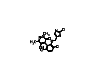 Cc1nn(C)c(=O)c(-c2c(Cl)ccc(Cl)c2OCc2cnc(Cl)s2)c1O